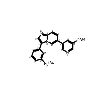 COc1cncc(-c2ccc3ncc(-c4cccc(NC(C)=O)c4)n3c2)c1